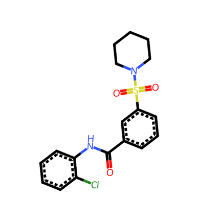 O=C(Nc1ccccc1Cl)c1cccc(S(=O)(=O)N2CCCCC2)c1